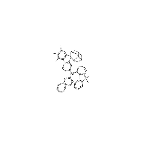 Cc1cc2c(c(C)c1C)-c1ccc(N(c3ccc4ccccc4c3)c3cccc4c3-c3ccccc3C4(C)C)cc1C21C2CC3CC(C2)CC1C3